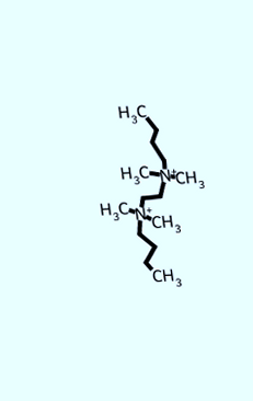 CCCC[N+](C)(C)CC[N+](C)(C)CCCC